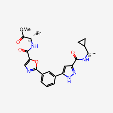 COC(=O)[C@@H](NC(=O)c1cnc(-c2cccc(-c3cc(C(=O)N[C@@H](C)C4CC4)n[nH]3)c2)o1)C(C)C